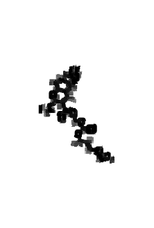 CC(CCO[N+](=O)[O-])OC(=O)OCOC(=O)C1=Cc2cc(S(F)(F)(F)(F)F)ccc2OC1C(F)(F)F